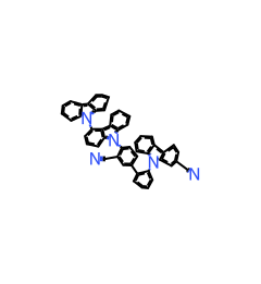 N#Cc1ccc2c3ccccc3n(-c3ccccc3-c3ccc(-n4c5ccccc5c5c(-n6c7ccccc7c7ccccc76)cccc54)c(C#N)c3)c2c1